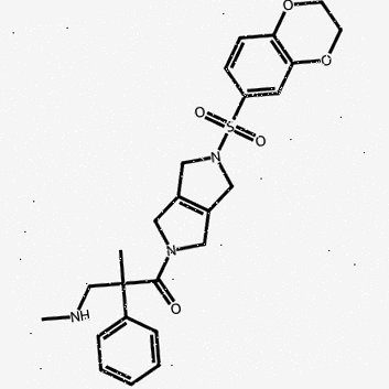 CNCC(C)(C(=O)N1CC2=C(C1)CN(S(=O)(=O)c1ccc3c(c1)OCCO3)C2)c1ccccc1